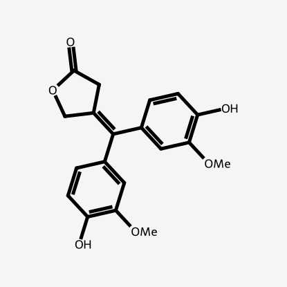 COc1cc(C(=C2COC(=O)C2)c2ccc(O)c(OC)c2)ccc1O